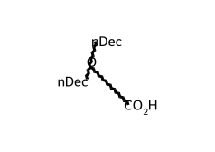 CCCCCCCCCCCCCCCCOCC(CCCCCCCCCCCCCC)CCCCCCCCCCCCCCCCCC(=O)O